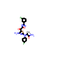 CC(C(N)=O)N(c1ccc(F)cc1)c1nc(N)c(C(=O)c2nc(-c3cccc(F)c3)no2)s1